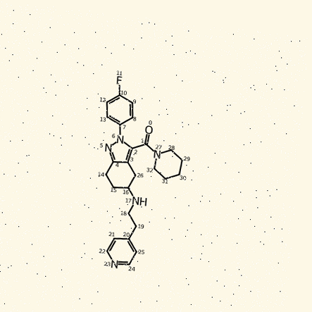 O=C(c1c2c(nn1-c1ccc(F)cc1)CCC(NCCc1ccncc1)C2)N1CCCCC1